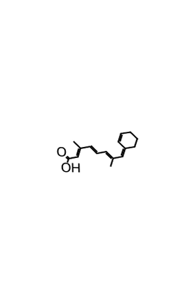 CC(=CC=CC(C)=CC(=O)O)C=C1C=CCCC1